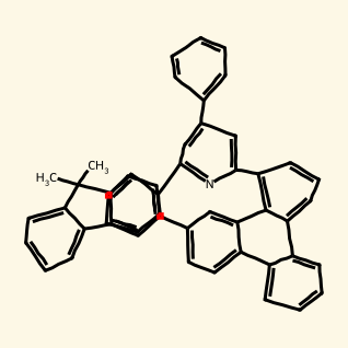 CC1(C)c2ccccc2-c2cc(-c3ccc4c5ccccc5c5cccc(-c6cc(-c7ccccc7)cc(-c7ccccc7)n6)c5c4c3)ccc21